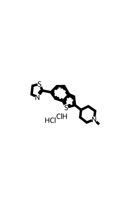 CN1CCC(c2cc3ccc(C4=NCCS4)cc3s2)CC1.Cl.Cl